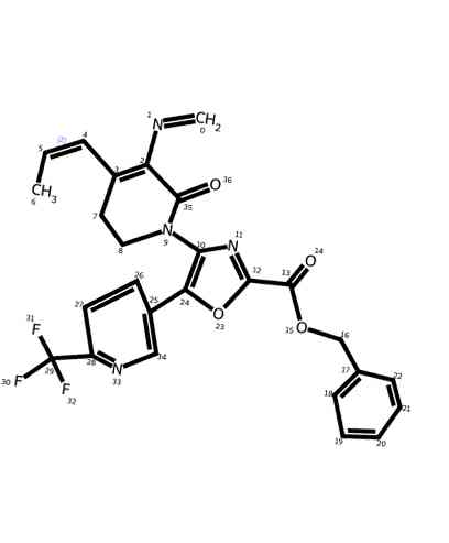 C=NC1=C(/C=C\C)CCN(c2nc(C(=O)OCc3ccccc3)oc2-c2ccc(C(F)(F)F)nc2)C1=O